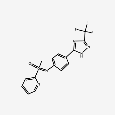 CS(=O)(=Nc1ccc(-c2nc(C(F)(F)F)n[nH]2)cc1)c1ccccn1